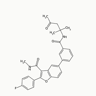 CNC(=O)c1c(-c2ccc(F)cc2)oc2ccc(-c3cccc(C(=O)NC(C)(C)CC(C)=O)c3)cc12